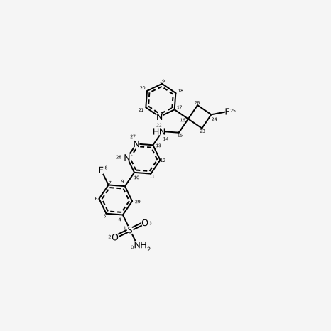 NS(=O)(=O)c1ccc(F)c(-c2ccc(NCC3(c4ccccn4)CC(F)C3)nn2)c1